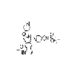 C=Cc1cc2c(N3CCC4(CC3)CN(C(=O)OC(C)(C)C)C4)nc(OC3CCN(C)CC3)nc2c(OCC)c1Br